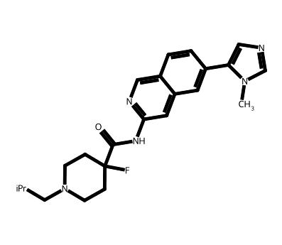 CC(C)CN1CCC(F)(C(=O)Nc2cc3cc(-c4cncn4C)ccc3cn2)CC1